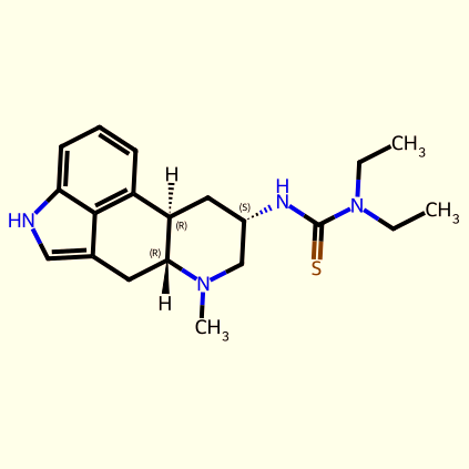 CCN(CC)C(=S)N[C@H]1C[C@@H]2c3cccc4[nH]cc(c34)C[C@H]2N(C)C1